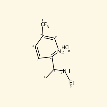 CCNC(C)c1ccc(C(F)(F)F)cn1.Cl